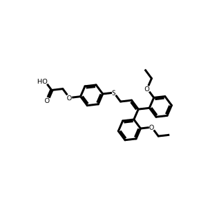 CCOc1ccccc1C(=CCSc1ccc(OCC(=O)O)cc1)c1ccccc1OCC